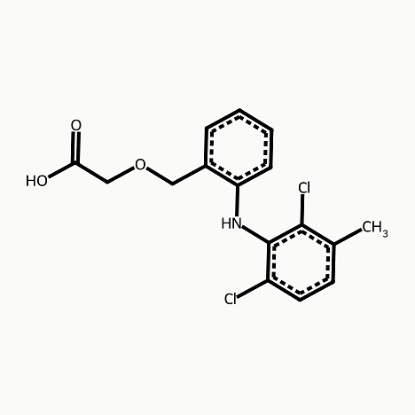 Cc1ccc(Cl)c(Nc2ccccc2COCC(=O)O)c1Cl